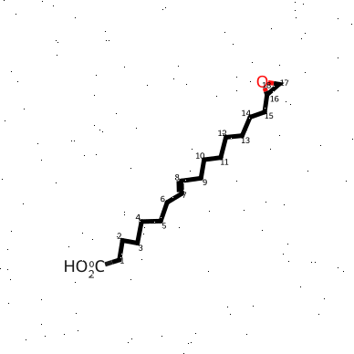 O=C(O)CCCCCCC=CCCCCCCCC1CO1